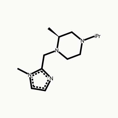 CC(C)N1CCN(Cc2nccn2C)[C@@H](C)C1